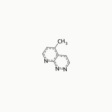 Cc1ccnc2nnccc12